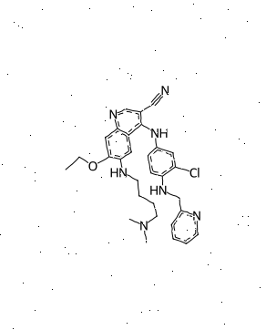 CCOc1cc2ncc(C#N)c(Nc3ccc(NCc4ccccn4)c(Cl)c3)c2cc1NCCCCN(C)C